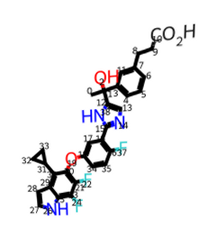 CC(O)(c1cccc(CCC(=O)O)c1)c1cnc(-c2cc(Oc3c(F)c(F)c4[nH]ccc4c3C3CC3)ccc2F)[nH]1